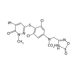 CC(C)c1cc(Sc2c(Cl)cc(N(Cc3noc(=O)[nH]3)C(=O)O)cc2Cl)nn(C)c1=O